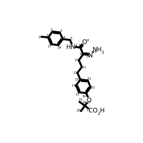 Cc1ccc(CNC(=O)/C(CCCc2ccc(OC(C)(C)C(=O)O)cc2)=N\N)cc1